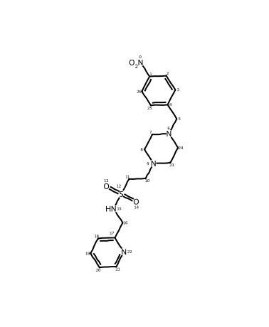 O=[N+]([O-])c1ccc(CN2CCN(CCS(=O)(=O)NCc3ccccn3)CC2)cc1